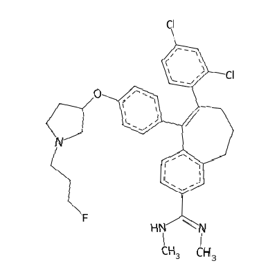 C/N=C(\NC)c1ccc2c(c1)CCCC(c1ccc(Cl)cc1Cl)=C2c1ccc(OC2CCN(CCCF)C2)cc1